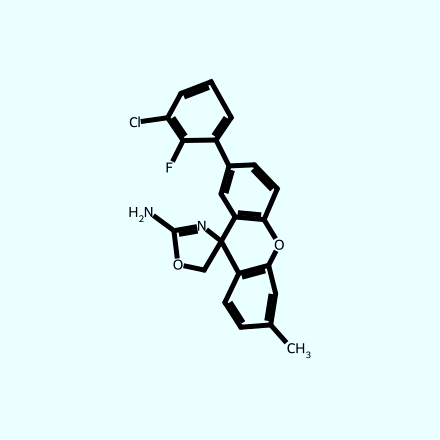 Cc1ccc2c(c1)Oc1ccc(-c3cccc(Cl)c3F)cc1C21COC(N)=N1